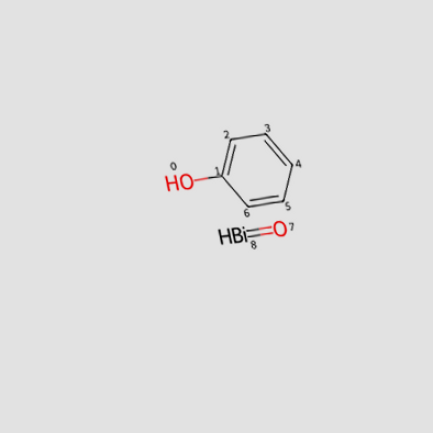 Oc1ccccc1.[O]=[BiH]